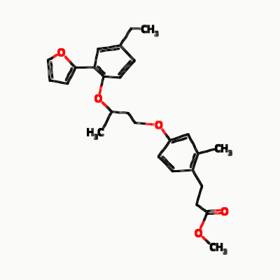 CCc1ccc(OC(C)CCOc2ccc(CCC(=O)OC)c(C)c2)c(-c2ccco2)c1